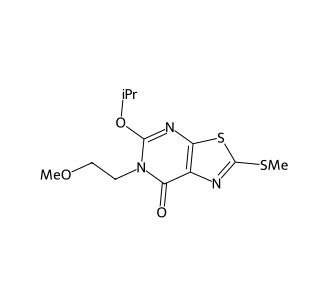 COCCn1c(OC(C)C)nc2sc(SC)nc2c1=O